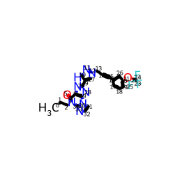 CCCn1c(=O)c2[nH]c(-c3cnn(CC#Cc4cccc(OC(F)(F)F)c4)c3)nc2n2ccnc12